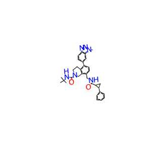 Cn1nnc2ccc(-c3ccc(CNC(=O)C4CC4c4ccccc4)c4c3CCN(C(=O)NC(C)(C)C)C4)cc21